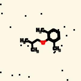 Cc1cccc(C)c1OCC(C)C